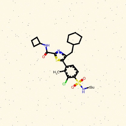 Cc1c(-c2sc(C(=O)NC3CCC3)nc2CC2CCCCC2)ccc(S(=O)(=O)NC(C)(C)C)c1Cl